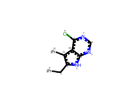 CC(C)Cc1[nH]c2ncnc(Cl)c2c1C(C)C